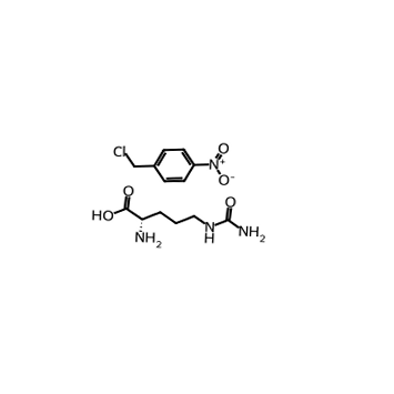 NC(=O)NCCC[C@H](N)C(=O)O.O=[N+]([O-])c1ccc(CCl)cc1